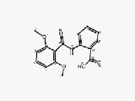 COc1cccc(OC)c1C(=O)Nc1ccccc1C(=O)O